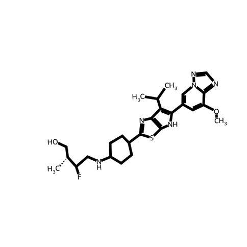 COc1cc(-c2[nH]c3sc(C4CCC(NCC(F)[C@H](C)CO)CC4)nc3c2C(C)C)cn2ncnc12